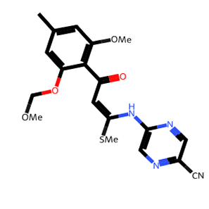 COCOc1cc(C)cc(OC)c1C(=O)C=C(Nc1cnc(C#N)cn1)SC